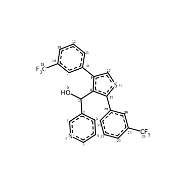 OC(c1cccnc1)c1c(-c2cccc(C(F)(F)F)c2)csc1-c1cccc(C(F)(F)F)c1